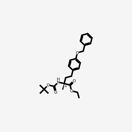 CCOC(=O)[C@@](C)(CCc1ccc(OCc2ccccc2)cc1)NC(=O)OC(C)(C)C